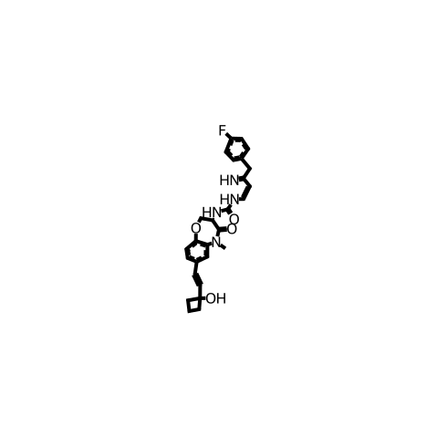 CN1C(=O)[C@@H](NC(=O)N/C=C\C(=N)Cc2ccc(F)cc2)COc2ccc(C#CC3(O)CCC3)cc21